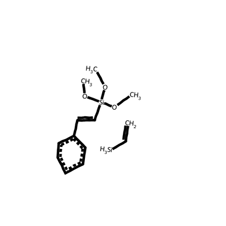 C=C[SiH3].CO[Si](C=Cc1ccccc1)(OC)OC